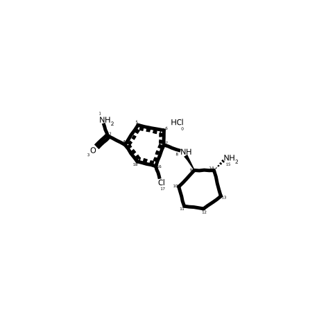 Cl.NC(=O)c1ccc(N[C@@H]2CCCC[C@H]2N)c(Cl)c1